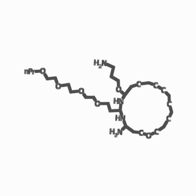 CCCOCCOCCOCCOCCC1NC(N)CCOCCCCCCCCCCCC(OCCCN)N1